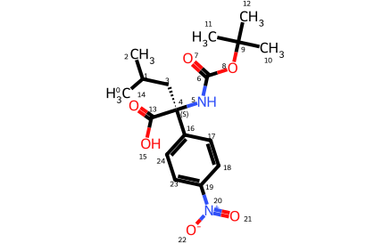 CC(C)C[C@@](NC(=O)OC(C)(C)C)(C(=O)O)c1ccc([N+](=O)[O-])cc1